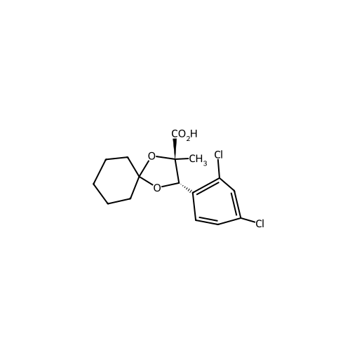 C[C@@]1(C(=O)O)OC2(CCCCC2)O[C@H]1c1ccc(Cl)cc1Cl